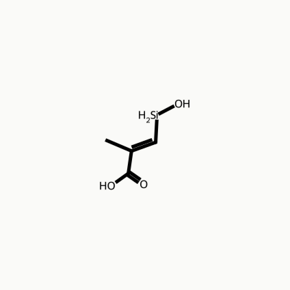 C/C(=C\[SiH2]O)C(=O)O